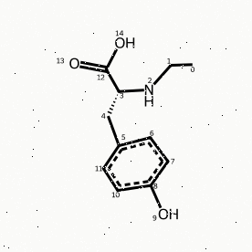 CCN[C@H](Cc1ccc(O)cc1)C(=O)O